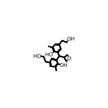 Cc1cc(CCO)cc(C(c2cc(CCO)cc(C)c2O)C2COC2)c1O